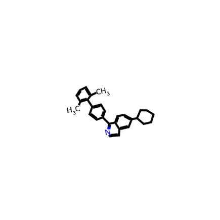 Cc1cccc(C)c1-c1ccc(-c2nccc3cc(C4CCCCC4)ccc23)cc1